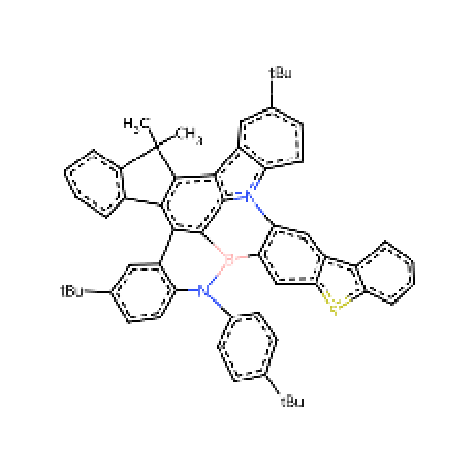 CC(C)(C)c1ccc(N2B3c4cc5sc6ccccc6c5cc4-n4c5ccc(C(C)(C)C)cc5c5c6c(c(c3c54)-c3cc(C(C)(C)C)ccc32)-c2ccccc2C6(C)C)cc1